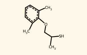 Cc1cccc(C)c1OCC(C)S